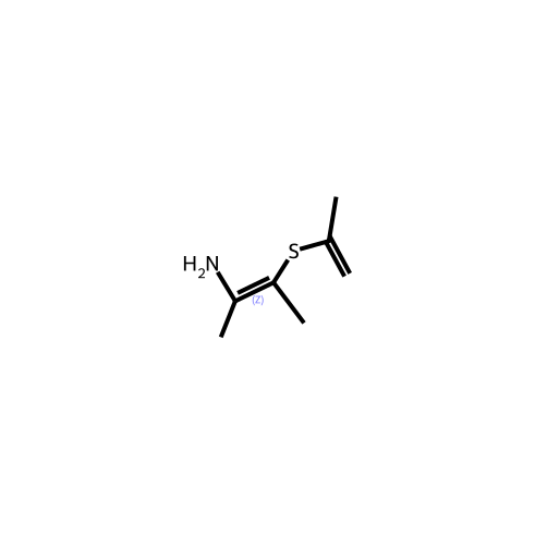 C=C(C)S/C(C)=C(/C)N